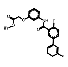 CC(C)OC(=O)COc1cccc(NC(=O)c2cc(C3=CCCC(F)=C3)ccc2F)c1